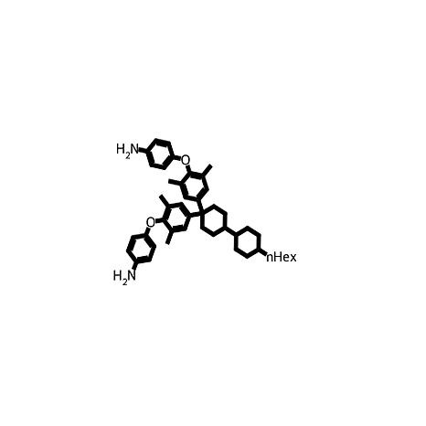 CCCCCCC1CCC(C2CCC(c3cc(C)c(Oc4ccc(N)cc4)c(C)c3)(c3cc(C)c(Oc4ccc(N)cc4)c(C)c3)CC2)CC1